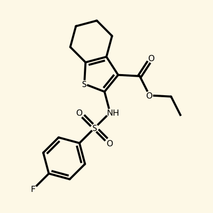 CCOC(=O)c1c(NS(=O)(=O)c2ccc(F)cc2)sc2c1CCCC2